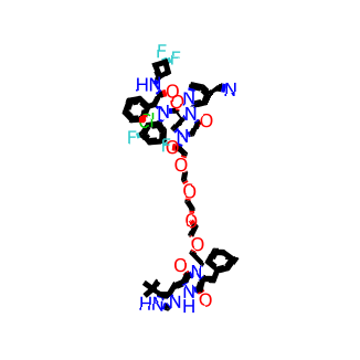 CC(C)(C)c1[nH]cnc1/C=c1\[nH]c(=O)/c(=C/c2ccccc2)n(CCOCCOCCOCCOCC(=O)N2CC(=O)N(c3cc(C#N)ccn3)[C@H](C(=O)N(c3cc(F)cc(F)c3)[C@H](C(=O)NC3CC(F)(F)C3)c3ccccc3Cl)C2)c1=O